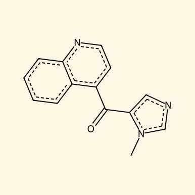 Cn1cncc1C(=O)c1ccnc2ccccc12